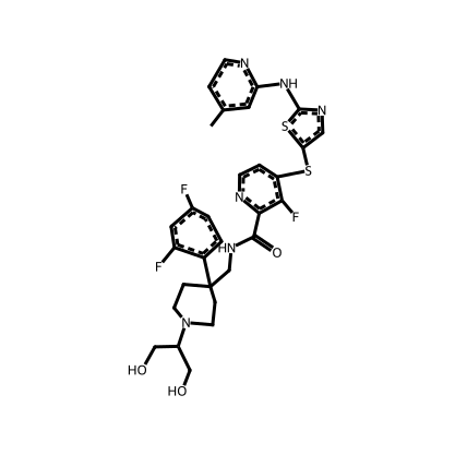 Cc1ccnc(Nc2ncc(Sc3ccnc(C(=O)NCC4(c5ccc(F)cc5F)CCN(C(CO)CO)CC4)c3F)s2)c1